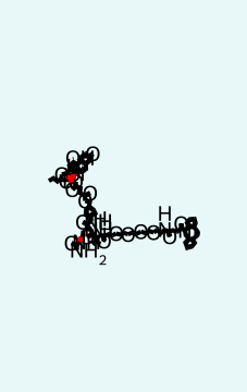 CCCC1O[C@@H]2C[C@H]3[C@@H]4CCC5=CC(=O)C=C[C@]5(C)C4[C@@H](O)C[C@]3(C)[C@]2(C(=O)COC(=O)CCC(=O)OCc2ccc(NC(=O)[C@H](CCCNC(N)=O)NC(=O)[C@@H](NC(=O)CCOCCOCCOCCOCCNC(=O)CCC(=O)N3Cc4ccccc4C#Cc4ccccc43)C(C)C)cc2)O1